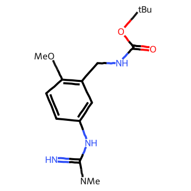 CNC(=N)Nc1ccc(OC)c(CNC(=O)OC(C)(C)C)c1